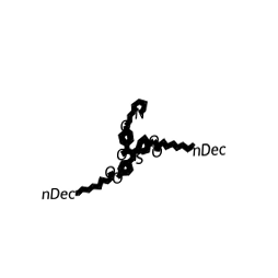 CCCCCCCCCCCCCCCCCC(=O)Oc1ccc(-c2sc3cc(OC(=O)CCCCCCCCCCCCCCCCC)ccc3c2C(=O)c2ccc(OCCC3=NCCCC3)cc2)cc1